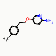 Cc1ccc(CCOc2ccc(N)nc2)cc1